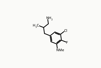 CNc1cc(CC(C)CN)cc(Cl)c1F